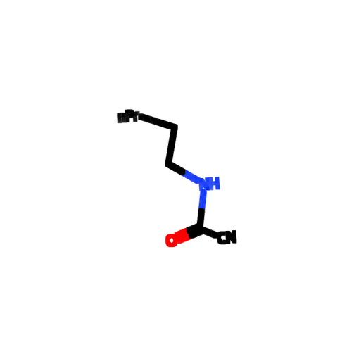 CCCCCNC(=O)C#N